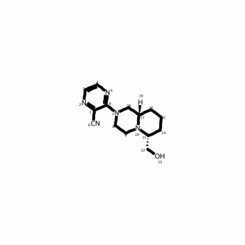 N#Cc1nccnc1N1CCN2[C@@H](CO)CCC[C@H]2C1